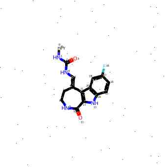 CCCNC(=O)NC=C1CCNC(=O)c2[nH]c3ccc(F)cc3c21